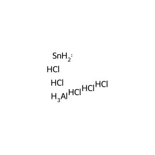 Cl.Cl.Cl.Cl.Cl.[AlH3].[SnH2]